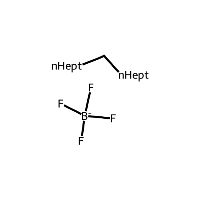 CCC[CH]CCCCCCCCCCC.F[B-](F)(F)F